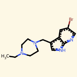 CCN1CCN(Cc2c[nH]c3ncc(Br)cc23)CC1